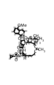 CC[C@@H]1C[C@H](C)CCC=C[C@@H]2C[C@@]2(C(=O)NS(=O)(=O)C2CC2)NC(=O)[C@@H]2C[C@@H](Oc3nccc4c(OC)cccc34)CN2C(=O)[C@H]1N(C(=O)O)C(C)(C)C(F)(F)F